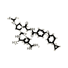 C[C@@H](NC(=O)[C@@H]1C[C@@H](OC(F)F)CN1C(=O)CNC(=O)c1ccc(Oc2ccc(C3CC3)cc2)cc1)c1cc(C(=N)N)cs1